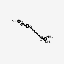 CCCCc1ccc(OC(=O)/C=C/c2ccc(OCCCCCCCCCCCOC(=O)c3cc(N)cc(N)c3)cc2)cc1